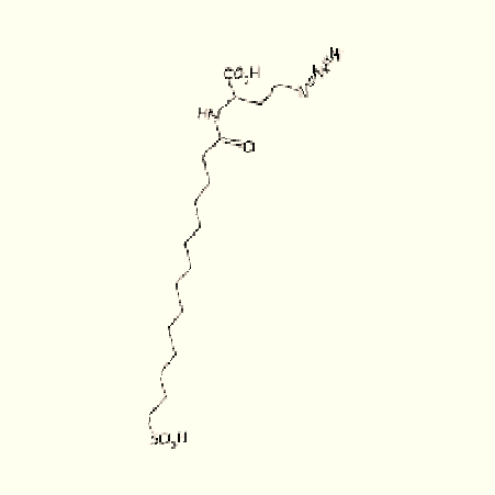 [N-]=[N+]=NCCC(NC(=O)CCCCCCCCCCCCCS(=O)(=O)O)C(=O)O